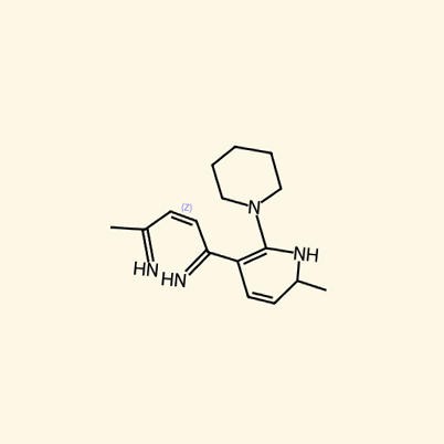 CC(=N)/C=C\C(=N)C1=C(N2CCCCC2)NC(C)C=C1